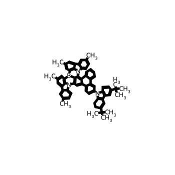 Cc1ccc2c(c1)c1cc(C)cc3c1n2-c1cc2c4ccc(-n5c6c(c7cc(C(C)(C)C)ccc75)C=C(C(C)(C)C)CC6)cc4c4ccccc4c2c2c1B3c1cc(C)cc3c4cc(C)ccc4n-2c13